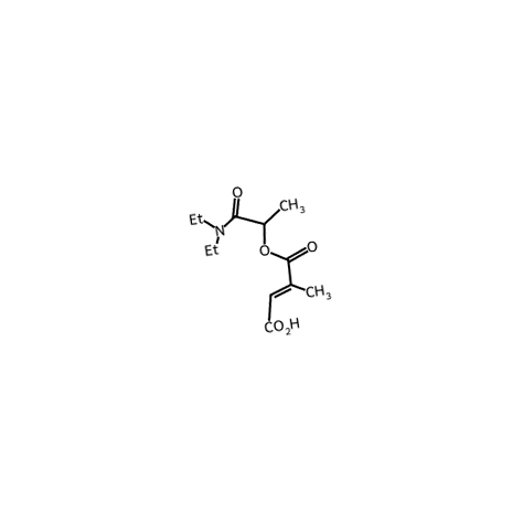 CCN(CC)C(=O)C(C)OC(=O)C(C)=CC(=O)O